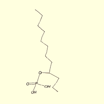 CCCCCCCCC(CCC)OP(=O)(O)O